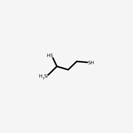 [SiH3]C(S)CCS